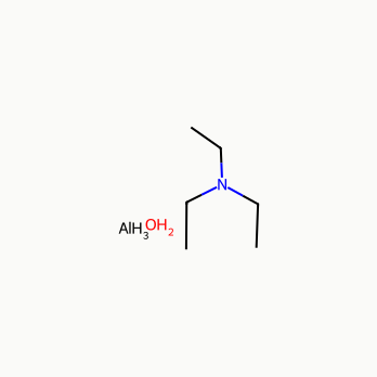 CCN(CC)CC.O.[AlH3]